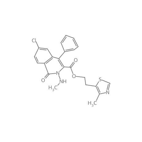 CNn1c(C(=O)OCCc2scnc2C)c(-c2ccccc2)c2cc(Cl)ccc2c1=O